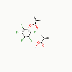 C=C(C)C(=O)OC.C=C(C)C(=O)Oc1c(F)c(F)c(F)c(F)c1F